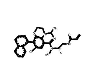 C=CC(=O)NC[C@H](C)N(CCC)C1=NC(O)N2CCSc3c(-c4cccc5ccccc45)c(Cl)cc1c32